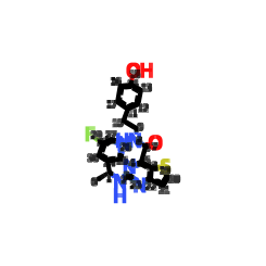 C[C@H](Nc1nc(C(=O)NCCc2ccc(O)cc2)c2sccc2n1)c1cncc(F)c1